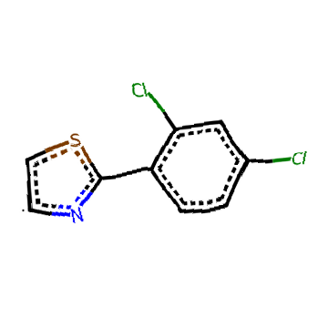 Clc1ccc(-c2n[c]cs2)c(Cl)c1